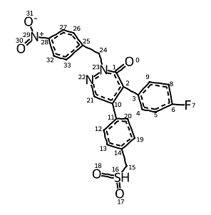 O=c1c(-c2ccc(F)cc2)c(-c2ccc(C[SH](=O)=O)cc2)cnn1Cc1ccc([N+](=O)[O-])cc1